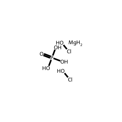 O=P(O)(O)O.OCl.OCl.[MgH2]